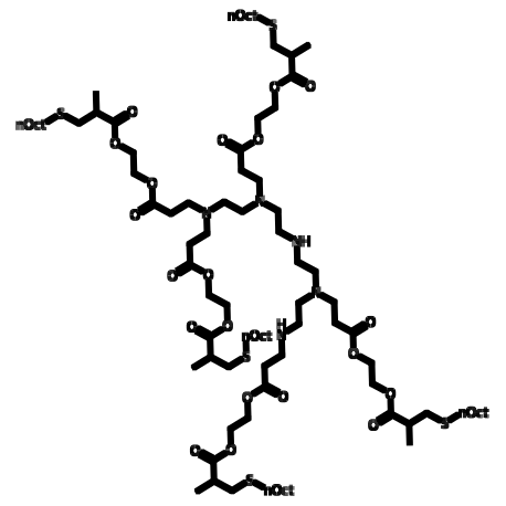 CCCCCCCCSCC(C)C(=O)OCCOC(=O)CCNCCN(CCNCCN(CCC(=O)OCCOC(=O)C(C)CSCCCCCCCC)CCN(CCC(=O)OCCOC(=O)C(C)CSCCCCCCCC)CCC(=O)OCCOC(=O)C(C)CSCCCCCCCC)CCC(=O)OCCOC(=O)C(C)CSCCCCCCCC